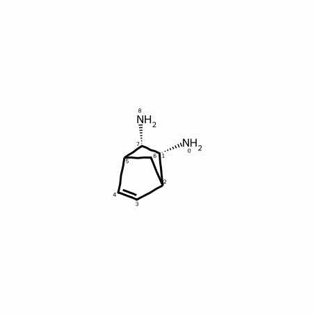 N[C@@H]1C2C=CC(C2)[C@@H]1N